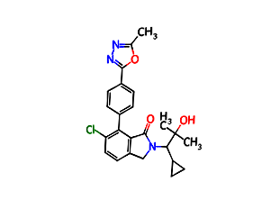 Cc1nnc(-c2ccc(-c3c(Cl)ccc4c3C(=O)N(C(C3CC3)C(C)(C)O)C4)cc2)o1